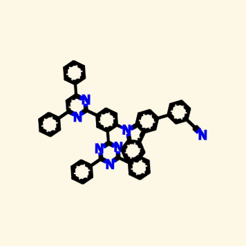 N#Cc1cccc(-c2ccc3c(c2)c2ccccc2n3-c2ccc(-c3nc(-c4ccccc4)cc(-c4ccccc4)n3)cc2-c2nc(-c3ccccc3)nc(-c3ccccc3)n2)c1